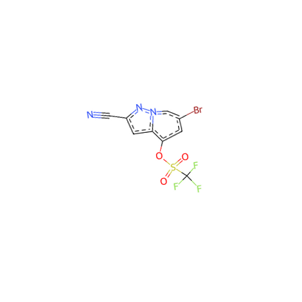 N#Cc1cc2c(OS(=O)(=O)C(F)(F)F)cc(Br)cn2n1